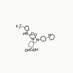 O=C(CN1C(=O)N(c2ccc(-c3ccccn3)cc2)CC12CCCCC2)Nc1cccc(C(F)(F)F)c1.O=CO